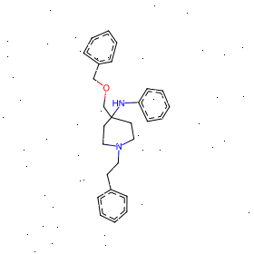 c1ccc(CCN2CCC(COCc3ccccc3)(Nc3ccccc3)CC2)cc1